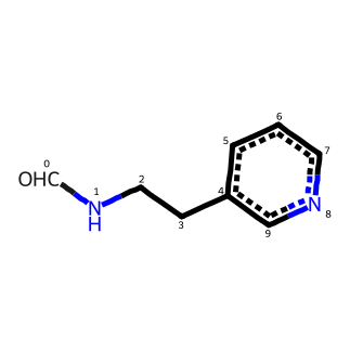 O=CNCCc1cccnc1